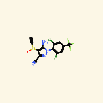 C#C[S+]([O-])c1c(C#N)nn(-c2c(Cl)cc(C(F)(F)F)cc2Cl)c1N